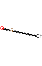 CCCCCCCCCCCCCCCCSCCCCCO